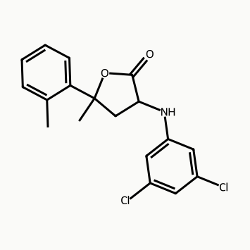 Cc1ccccc1C1(C)CC(Nc2cc(Cl)cc(Cl)c2)C(=O)O1